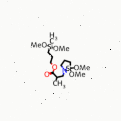 CO[Si](C)(CCCOC(=O)C(C)CN1CCC[Si]1(OC)OC)OC